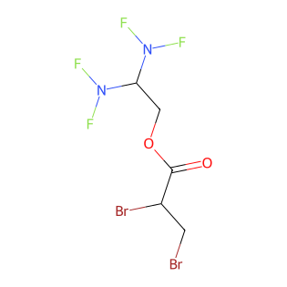 O=C(OCC(N(F)F)N(F)F)C(Br)CBr